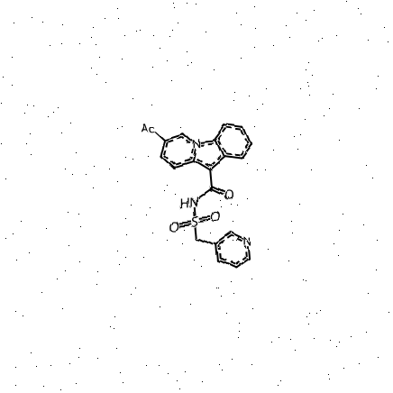 CC(=O)c1ccc2c(C(=O)NS(=O)(=O)Cc3cccnc3)c3ccccc3n2c1